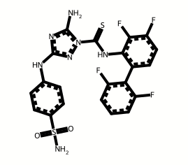 Nc1nc(Nc2ccc(S(N)(=O)=O)cc2)nn1C(=S)Nc1c(-c2c(F)cccc2F)ccc(F)c1F